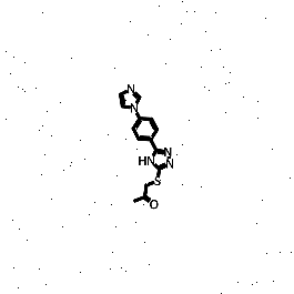 CC(=O)CSc1nnc(-c2ccc(-n3ccnc3)cc2)[nH]1